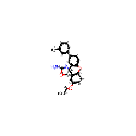 CC(=O)c1cccc(-c2ccc3c(c2)[C@]2(COC(N)=N2)c2cc(OCC(C)(C)C)ccc2O3)c1